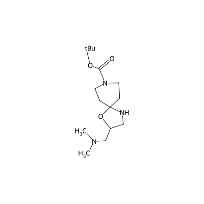 CN(C)CC1CNC2(CCN(C(=O)OC(C)(C)C)CC2)O1